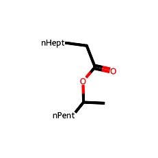 CCCCCCCCC(=O)OC(C)CCCCC